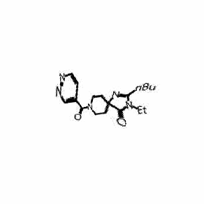 CCCCC1=NC2(CCN(C(=O)c3ccnnc3)CC2)C(=O)N1CC